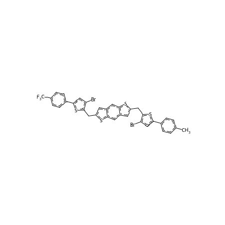 Cc1ccc(-c2cc(Br)c(Cc3cc4cc5sc(Cc6sc(-c7ccc(C(F)(F)F)cc7)cc6Br)cc5cc4s3)s2)cc1